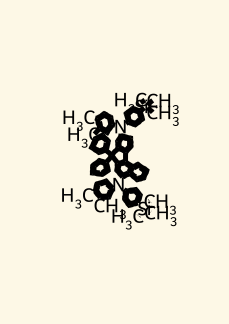 Cc1ccc(N(c2ccc([Si](C)(C)C)cc2)c2ccc3c(c2)C(c2ccccc2)(c2ccccc2)c2cc(N(c4ccc([Si](C)(C)C)cc4)c4ccc(C)c(C)c4)c4ccccc4c2-3)cc1C